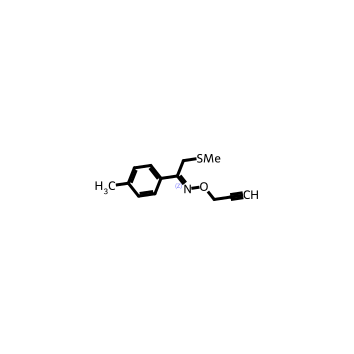 C#CCO/N=C(\CSC)c1ccc(C)cc1